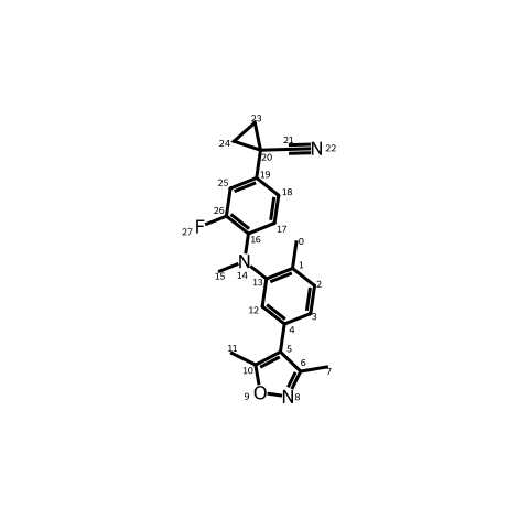 Cc1ccc(-c2c(C)noc2C)cc1N(C)c1ccc(C2(C#N)CC2)cc1F